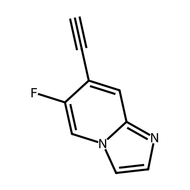 C#Cc1cc2nccn2cc1F